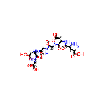 N[C@@H](CCC(=O)O)C(=O)N[C@@H](CC(=O)O)C(=O)NCC(=O)NCC(=O)N[C@@H](CC(=O)O)C(=O)NCC(=O)O